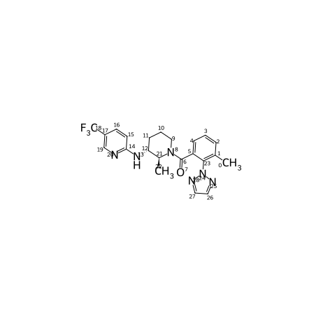 Cc1cccc(C(=O)N2CCC[C@@H](Nc3ccc(C(F)(F)F)cn3)[C@@H]2C)c1-n1nccn1